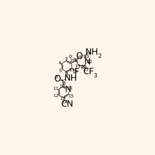 C[C@@]1(c2cccc(NC(=O)c3ccc(C#N)cn3)c2F)C[C@@H](C(F)(F)F)N=C(N)O1